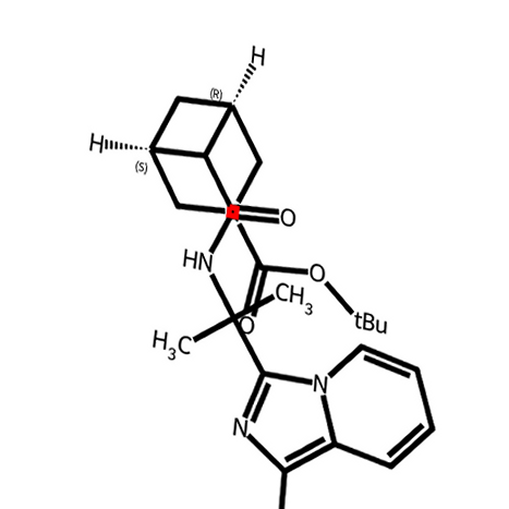 CC(C)(C)OC(=O)N1C[C@H]2C[C@@H](C1)C2C(=O)NC(C)(C)c1nc(Br)c2ccccn12